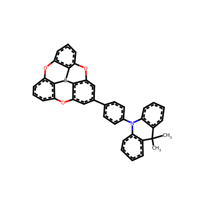 CC1(C)c2ccccc2N(c2ccc(-c3cc4c5c(c3)Oc3cccc6c3B5c3c(cccc3O4)O6)cc2)c2ccccc21